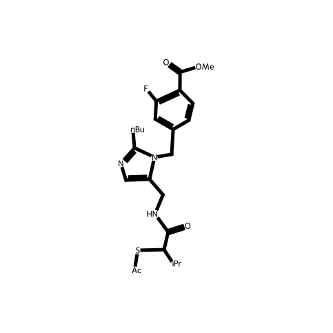 CCCCc1ncc(CNC(=O)C(SC(C)=O)C(C)C)n1Cc1ccc(C(=O)OC)c(F)c1